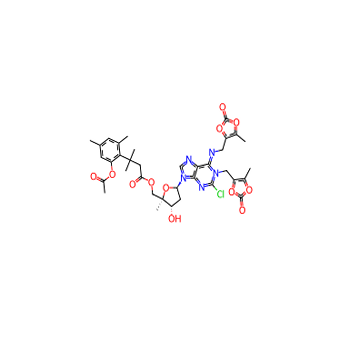 CC(=O)Oc1cc(C)cc(C)c1C(C)(C)CC(=O)OC[C@@]1(C)O[C@@H](n2cnc3/c(=N/Cc4oc(=O)oc4C)n(Cc4oc(=O)oc4C)c(Cl)nc32)C[C@@H]1O